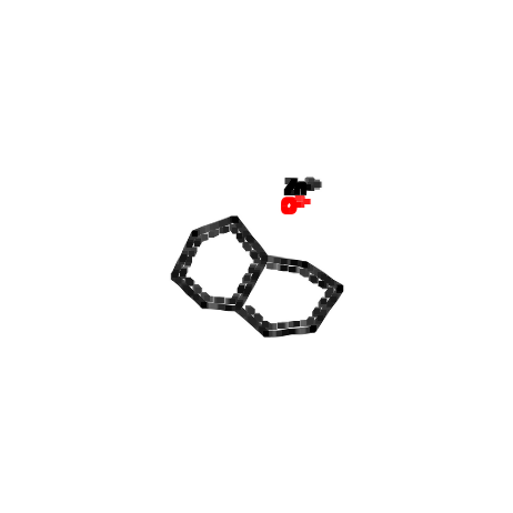 [O-2].[Zn+2].c1ccc2ccccc2c1